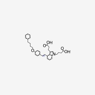 O=C(O)CCCn1cc(CCC(=O)O)c2c(/C=C/c3ccc(OCCCCc4ccccc4)cc3)cccc21